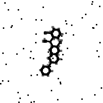 OC(c1cc2nc(-c3ccccc3)ccc2cc1Cl)c1nccnc1Cl